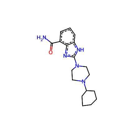 NC(=O)c1cccc2[nH]c(N3CCN(C4CCCCC4)CC3)nc12